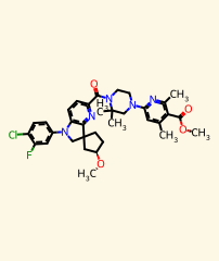 COC(=O)c1c(C)cc(N2CCN(C(=O)c3ccc4c(n3)C3(CC[C@@H](OC)C3)CN4c3ccc(Cl)c(F)c3)C(C)(C)C2)nc1C